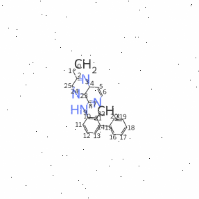 C=CC1=NC2C=CN=C(Nc3cccc(-c4ccccc4)c3C)C2N=C1